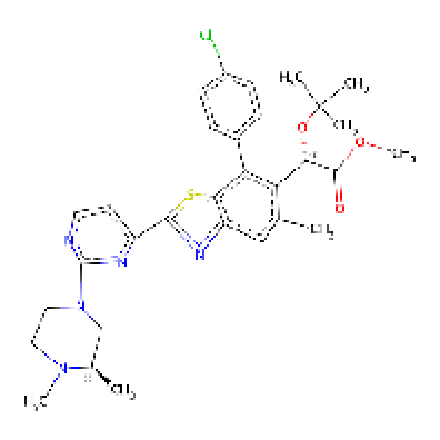 COC(=O)[C@@H](OC(C)(C)C)c1c(C)cc2nc(-c3ccnc(N4CCN(C)[C@H](C)C4)n3)sc2c1-c1ccc(Cl)cc1